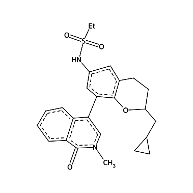 CCS(=O)(=O)Nc1cc2c(c(-c3cn(C)c(=O)c4ccccc34)c1)OC(CC1CC1)CC2